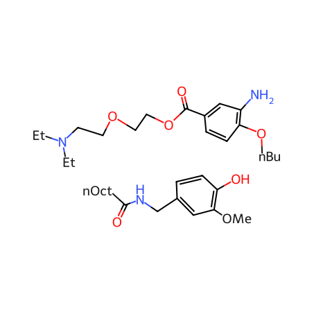 CCCCCCCCC(=O)NCc1ccc(O)c(OC)c1.CCCCOc1ccc(C(=O)OCCOCCN(CC)CC)cc1N